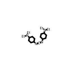 CCN(CC)C1CCC(N=C=NC2CCC(N(CC)CC)CC2)CC1